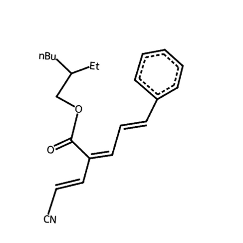 CCCCC(CC)COC(=O)C(C=CC#N)=CC=Cc1ccccc1